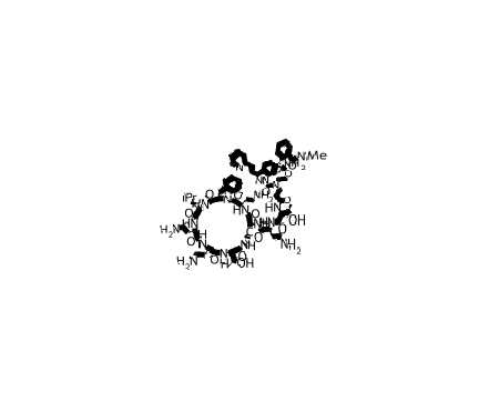 CNC(=O)c1ccccc1Sc1ccc2c(/C=C/c3ccccn3)nn(C(=O)N(CCOC(N)=O)CCC(=O)N[C@H](C(=O)N[C@@H](CCN)C(=O)N[C@H]3CCNC(=O)[C@H]([C@@H](C)O)NC(=O)[C@H](CCN)NC(=O)[C@H](CCN)NC(=O)[C@H](CC(C)C)NC(=O)[C@@H](Cc4ccccc4)NC(=O)[C@H](CCN)NC3=O)[C@@H](C)O)c2c1